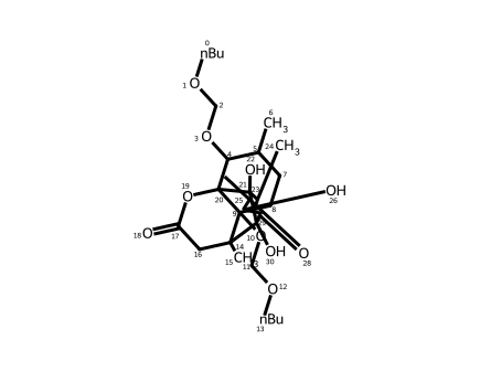 CCCCOCOC1C(C)CCC2(OCOCCCC)C3(C)CC(=O)OC12C1(O)C(C)=C(O)C(=O)C31O